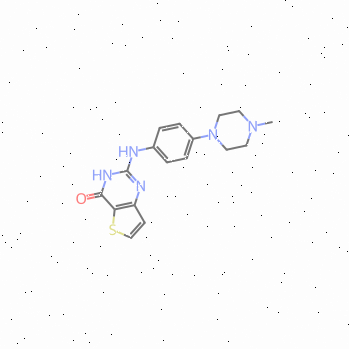 CN1CCN(c2ccc(Nc3nc4ccsc4c(=O)[nH]3)cc2)CC1